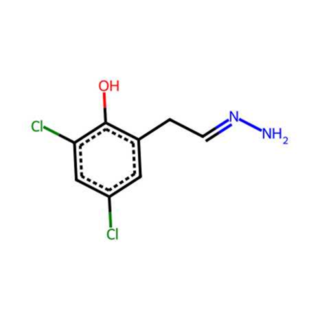 NN=CCc1cc(Cl)cc(Cl)c1O